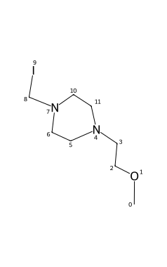 COCCN1CCN(CI)CC1